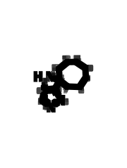 NC1(c2nncs2)CCCCCCC1